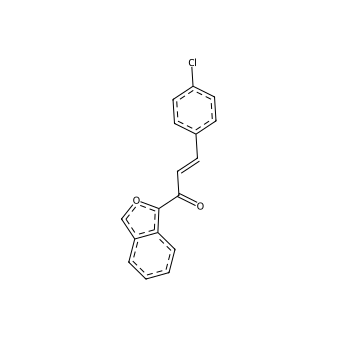 O=C(C=Cc1ccc(Cl)cc1)c1occ2ccccc12